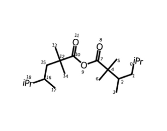 CC(C)CC(C)C(C)(C)C(=O)OC(=O)C(C)(C)CC(C)C(C)C